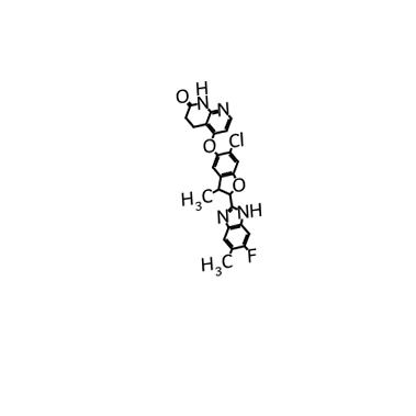 Cc1cc2nc(C3Oc4cc(Cl)c(Oc5ccnc6c5CCC(=O)N6)cc4C3C)[nH]c2cc1F